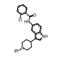 CC(C)N1CCC(c2c[nH]c3ccc(NC(=O)c4ccccc4Cl)cc23)CC1